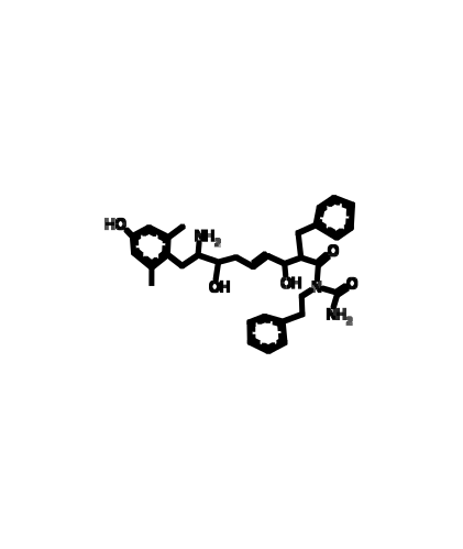 Cc1cc(O)cc(C)c1CC(N)C(O)C/C=C/C(O)C(Cc1ccccc1)C(=O)N(CCc1ccccc1)C(N)=O